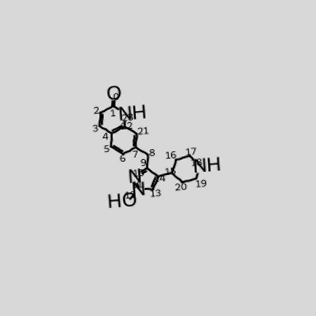 O=c1ccc2ccc(Cc3nn(O)cc3C3CCNCC3)cc2[nH]1